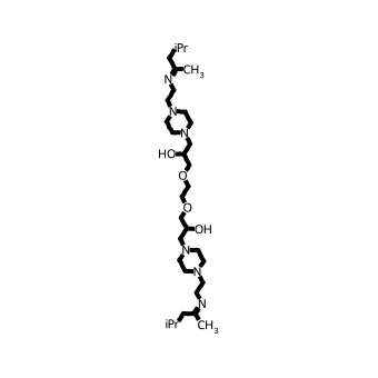 C/C(CC(C)C)=N/CCN1CCN(CC(O)COCCOCC(O)CN2CCN(CC/N=C(\C)CC(C)C)CC2)CC1